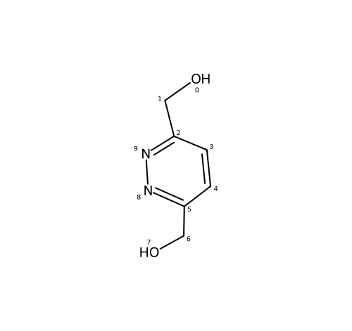 OCc1ccc(CO)nn1